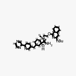 CCCCc1cc2ccccc2c(OCC[N+](C)(C)[C@H]2CCC(Cc3ccc(-c4cnccn4)nc3)C[C@@]2(O)C(N)=O)n1